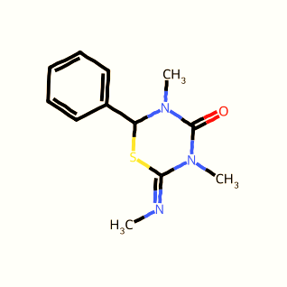 CN=C1SC(c2ccccc2)N(C)C(=O)N1C